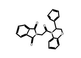 O=C1c2ccccc2C(=O)N1CC(=O)N1c2ccccc2OCC1c1ccccc1